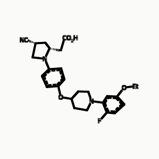 CCOc1ccc(F)c(N2CCC(Oc3ccc(N4C[C@H](C#N)C[C@@H]4CC(=O)O)cc3)CC2)c1